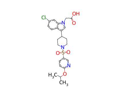 CC(C)Oc1ccc(S(=O)(=O)N2CCC(c3cn(CC(=O)O)c4cc(Cl)ccc34)CC2)cn1